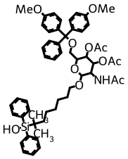 COc1ccc(C(OCC2OC(OCCCCCCC(C)(C)[Si](O)(c3ccccc3)c3ccccc3)C(NC(C)=O)C(OC(C)=O)C2OC(C)=O)(c2ccccc2)c2ccc(OC)cc2)cc1